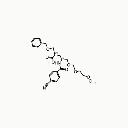 COCCOCOC[C@H](C[C@H](COCc1ccccc1)C(=O)O)NC(=O)c1ccc(C#N)cc1